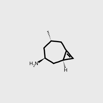 C[C@@H]1CC2=C[C@H]2C[C@@H](N)C1